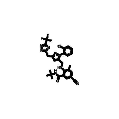 Cc1cc(C#N)cc(C(=O)NC(C)(C)C)c1NCc1cc(Cn2nnc(C(F)(F)F)n2)nn1-c1ccccc1Cl